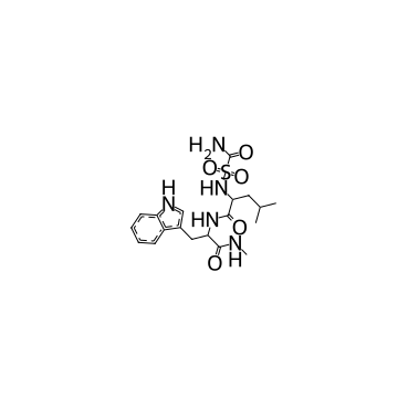 CNC(=O)C(Cc1c[nH]c2ccccc12)NC(=O)C(CC(C)C)NS(=O)(=O)C(N)=O